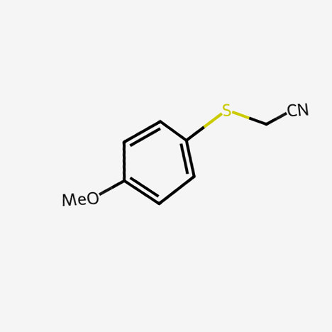 COc1ccc(SCC#N)cc1